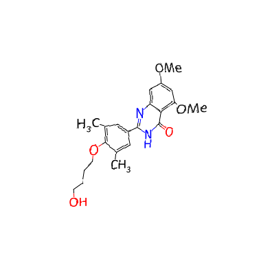 COc1cc(OC)c2c(=O)[nH]c(-c3cc(C)c(OCCCCO)c(C)c3)nc2c1